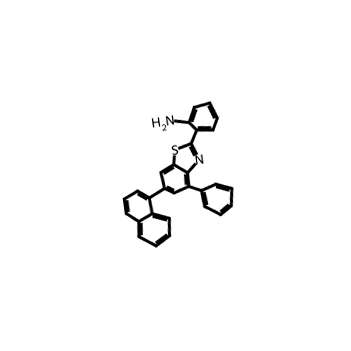 Nc1ccccc1-c1nc2c(-c3ccccc3)cc(-c3cccc4ccccc34)cc2s1